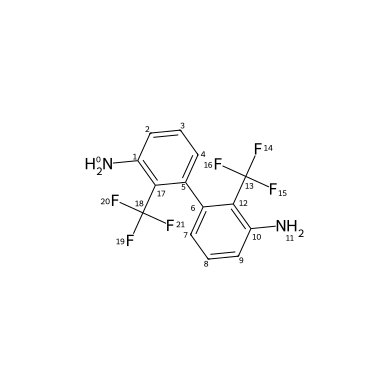 Nc1cccc(-c2cccc(N)c2C(F)(F)F)c1C(F)(F)F